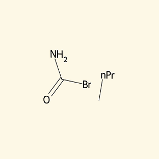 CCCC.NC(=O)Br